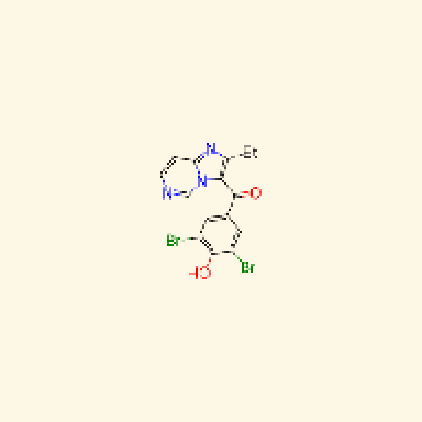 CCc1nc2ccncn2c1C(=O)c1cc(Br)c(O)c(Br)c1